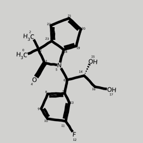 CC1(C)C(=O)N(C(c2cccc(F)c2)[C@H](O)CO)c2ccccc21